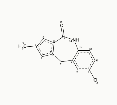 Cc1cc2n(c1)Cc1cc(Cl)ccc1NC2=O